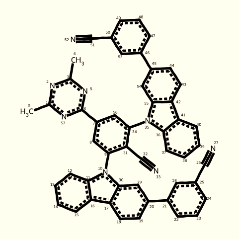 Cc1nc(C)nc(-c2cc(-n3c4ccccc4c4ccc(-c5cccc(C#N)c5)cc43)c(C#N)c(-n3c4ccccc4c4ccc(-c5cccc(C#N)c5)cc43)c2)n1